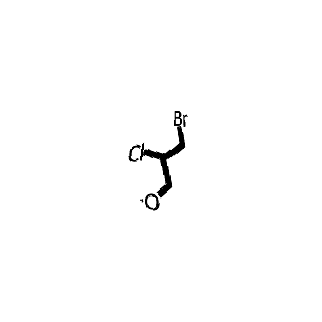 [O]CC(Cl)CBr